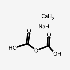 O=C(O)OC(=O)O.[CaH2].[NaH]